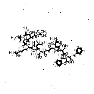 CC[C@H](C)[C@H](NC(=O)[C@@H](CCCNC(=N)N)NC(=O)[C@H](CC(C)C)NC(=O)[C@@H](NC(=O)OC(C)(C)C)[C@H](O)C(C)C)C(=O)NC(C(=O)NCC(=O)N[C@H](C(=O)N[C@@H](CO)C(=O)N[C@H](c1ccccc1)[C@H](NC(=O)OCc1ccccc1)C(=O)O)[C@H](O)C(N)=O)[C@H](C)O